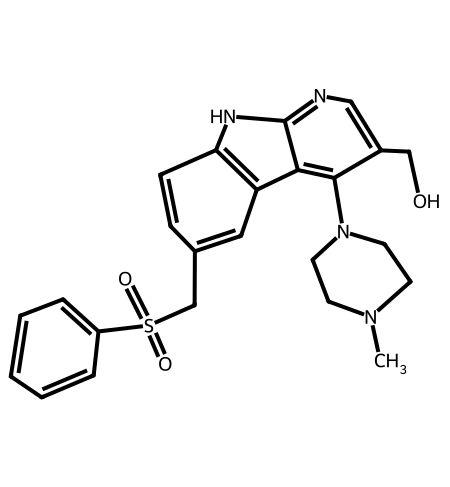 CN1CCN(c2c(CO)cnc3[nH]c4ccc(CS(=O)(=O)c5ccccc5)cc4c23)CC1